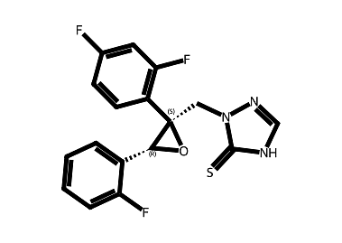 Fc1ccc([C@@]2(Cn3nc[nH]c3=S)O[C@@H]2c2ccccc2F)c(F)c1